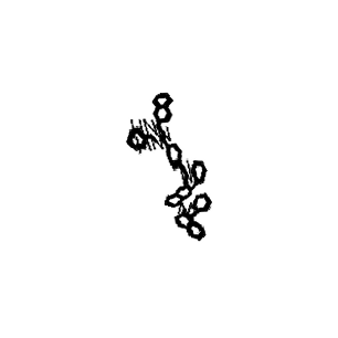 C1=CC(N2c3ccc4ccccc4c3C3C=CCCC32)C2CC3C(=CC2=C1)N(c1ccc(C2=NC(C4C=Cc5ccccc5C4)NC(c4ccccc4)N2)cc1)C1=C3C=CCC1